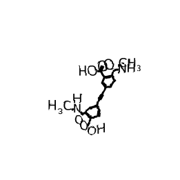 CCNC(=O)c1cc(C#Cc2ccc(C(=O)NC)c(C(=O)O)c2)ccc1C(=O)O